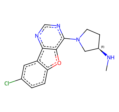 CN[C@@H]1CCN(c2ncnc3c2oc2ccc(Cl)cc23)C1